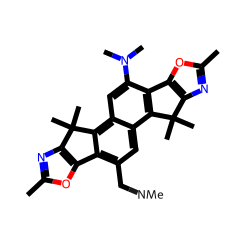 CNCc1cc2c3c(c(N(C)C)cc2c2c1-c1oc(C)nc1C2(C)C)-c1oc(C)nc1C3(C)C